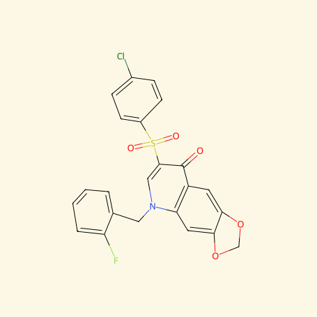 O=c1c(S(=O)(=O)c2ccc(Cl)cc2)cn(Cc2ccccc2F)c2cc3c(cc12)OCO3